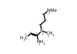 C/C=C(\N)N(C)CCCNC